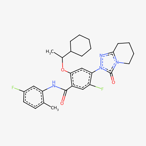 Cc1ccc(F)cc1NC(=O)c1cc(F)c(-n2nc3n(c2=O)CCCC3)cc1OC(C)C1CCCCC1